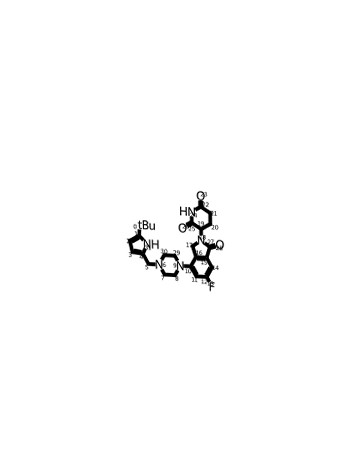 CC(C)(C)c1ccc(CN2CCN(c3cc(F)cc4c3CN(C3CCC(=O)NC3=O)C4=O)CC2)[nH]1